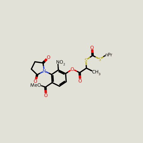 CCCSC(=O)SC(C)C(=O)Oc1ccc(C(=O)OC)c(N2C(=O)CCC2=O)c1[N+](=O)[O-]